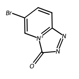 O=C1N=Nc2ccc(Br)c[n+]21